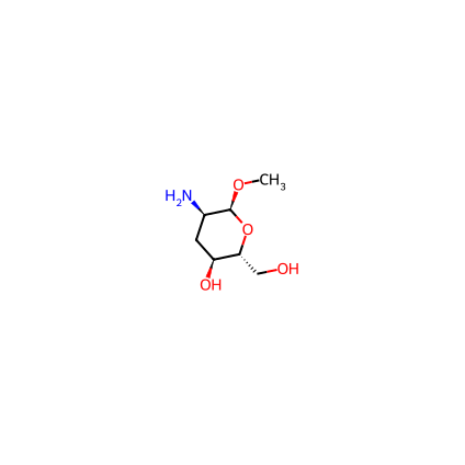 CO[C@H]1O[C@H](CO)[C@@H](O)C[C@H]1N